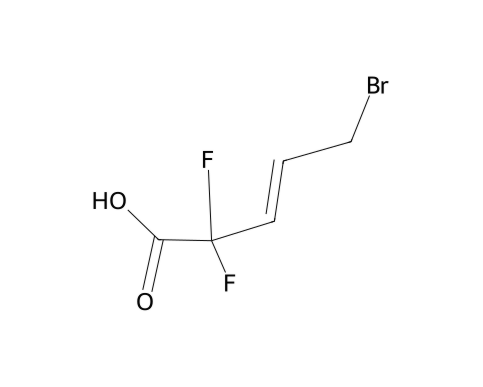 O=C(O)C(F)(F)C=CCBr